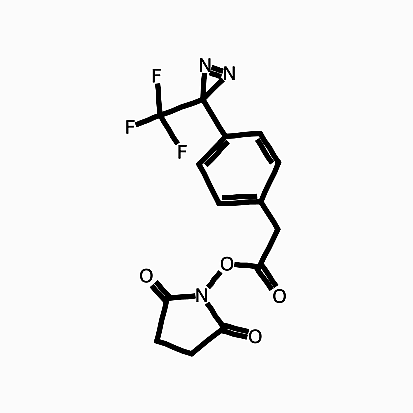 O=C(Cc1ccc(C2(C(F)(F)F)N=N2)cc1)ON1C(=O)CCC1=O